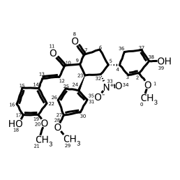 COC1=CC([C@H]2CC(=O)C(C(=O)/C=C/c3ccc(O)c(OC)c3)[C@H](c3ccc(OC)cc3)[C@H]2[N+](=O)[O-])CC=C1O